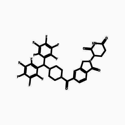 O=C1CCC(N2Cc3cc(C(=O)N4CCN(C(c5c(F)c(F)c(F)c(F)c5F)c5c(F)c(F)c(F)c(F)c5F)CC4)ccc3C2=O)C(=O)N1